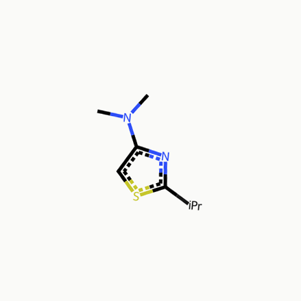 CC(C)c1nc(N(C)C)cs1